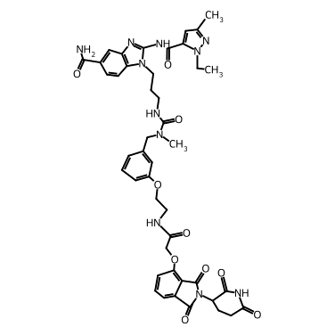 CCn1nc(C)cc1C(=O)Nc1nc2cc(C(N)=O)ccc2n1CCCNC(=O)N(C)Cc1cccc(OCCNC(=O)COc2cccc3c2C(=O)N(C2CCC(=O)NC2=O)C3=O)c1